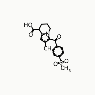 Cc1cc2n(c1C(=O)c1ccc(S(C)(=O)=O)cc1)CCCC2C(=O)O